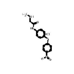 CNCC(=O)Nc1ccc(Sc2ccc([N+](=O)[O-])cc2)cc1.Cl